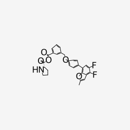 Cc1cc2c(F)c(F)cc(-c3ccc(OCc4cccc(C(=O)OC(=O)[C@@H]5CCCN5)c4)cc3)c2o1